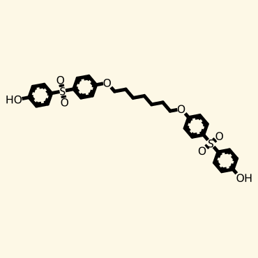 O=S(=O)(c1ccc(O)cc1)c1ccc(OCCCCCCCOc2ccc(S(=O)(=O)c3ccc(O)cc3)cc2)cc1